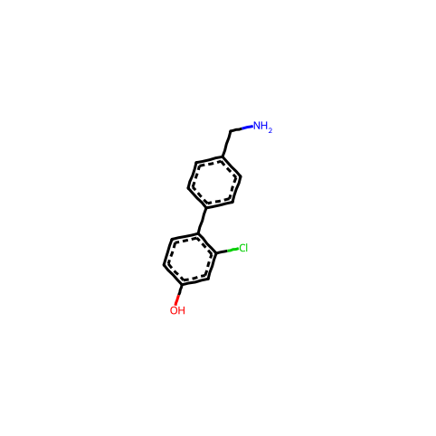 NCc1ccc(-c2ccc(O)cc2Cl)cc1